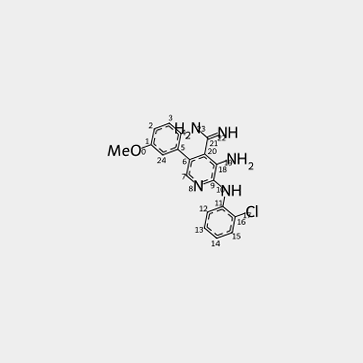 COc1cccc(-c2cnc(Nc3ccccc3Cl)c(N)c2C(=N)N)c1